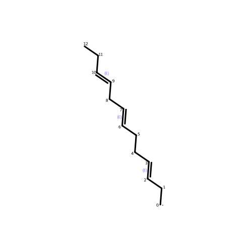 [CH2]C/C=C/CC/C=C/C/C=C/CC